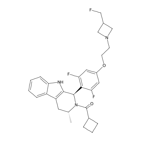 C[C@@H]1Cc2c([nH]c3ccccc23)[C@@H](c2c(F)cc(OCCN3CC(CF)C3)cc2F)N1C(=O)C1CCC1